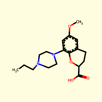 CCCN1CCN(c2cc(OC)cc3c2OC(C(=O)O)CC3)CC1